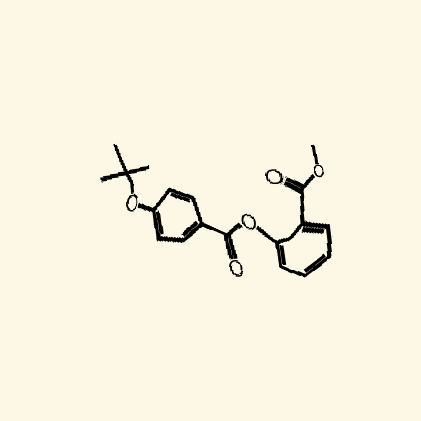 COC(=O)c1ccccc1OC(=O)c1ccc(OC(C)(C)C)cc1